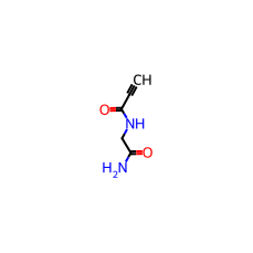 C#CC(=O)NCC(N)=O